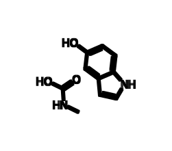 CNC(=O)O.Oc1ccc2[nH]ccc2c1